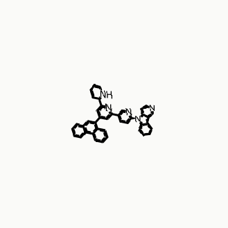 C1=CNC(c2cc(-c3cc4ccccc4c4ccccc34)cc(-c3ccc(-n4c5ccccc5c5cnccc54)nc3)n2)C=C1